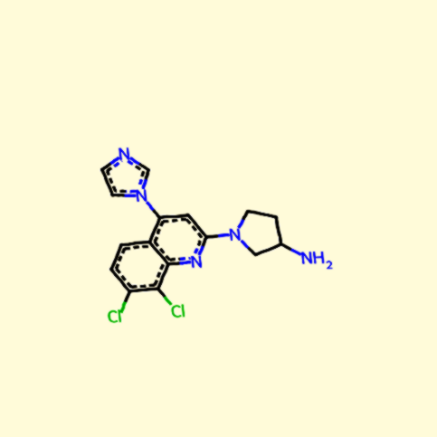 NC1CCN(c2cc(-n3ccnc3)c3ccc(Cl)c(Cl)c3n2)C1